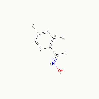 C/C(=N\O)c1ccc(C)cc1C